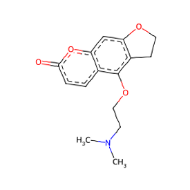 CN(C)CCOc1c2c(cc3oc(=O)ccc13)OCC2